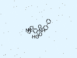 O=C(Nc1cc(Cl)c(C2=CCN=N2)cc1C(=O)O)c1cccc(-c2ccccc2)c1